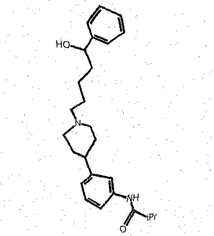 CC(C)C(=O)Nc1cccc(C2CCN(CCCCC(O)c3ccccc3)CC2)c1